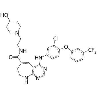 O=C(NCCN1CCC(O)CC1)C1=Cc2c(ncnc2Nc2ccc(Oc3cccc(C(F)(F)F)c3)c(Cl)c2)NCC1